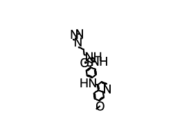 COc1ccc2c(Nc3ccc([S@](=N)(=O)NCCCn4cnnc4)cc3)ccnc2c1